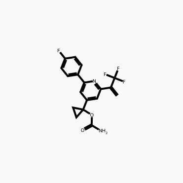 C=C(c1cc(C2(OC(N)=O)CC2)cc(-c2ccc(F)cc2)n1)C(F)(F)F